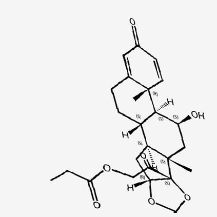 CCC(=O)OCC(=O)[C@@]12OCO[C@@H]1C[C@H]1[C@@H]3CCC4=CC(=O)C=C[C@]4(C)[C@H]3[C@@H](O)C[C@@]12C